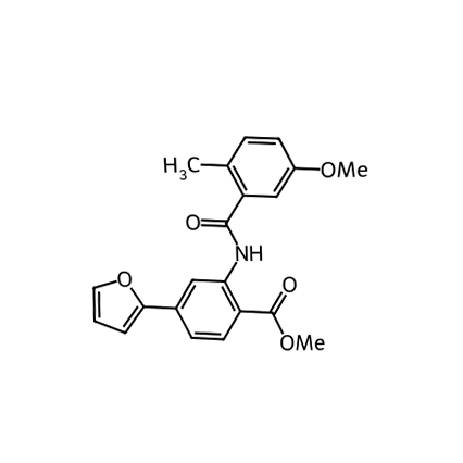 COC(=O)c1ccc(-c2ccco2)cc1NC(=O)c1cc(OC)ccc1C